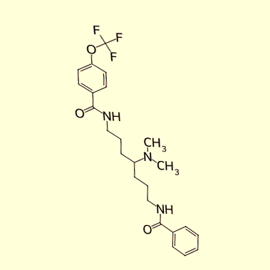 CN(C)C(CCCNC(=O)c1ccccc1)CCCNC(=O)c1ccc(OC(F)(F)F)cc1